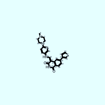 CN1CCN(c2ccc(N/C=C3\C(=O)NC(=O)c4ccc(-c5ccsc5)cc43)cn2)CC1